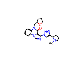 CC(=O)N1CCCC1c1cn(-c2ncn3c2c(=O)n(CC2CCCO2)c2ccccc23)nn1